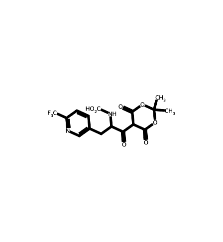 CC1(C)OC(=O)C(C(=O)C(Cc2ccc(C(F)(F)F)nc2)NC(=O)O)C(=O)O1